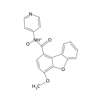 COc1ccc(C(=O)[NH+]([O-])c2ccncc2)c2c1oc1ccccc12